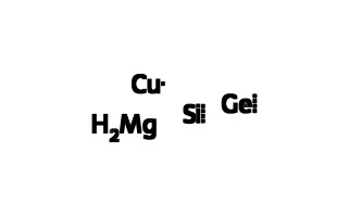 [Cu].[Ge].[MgH2].[Si]